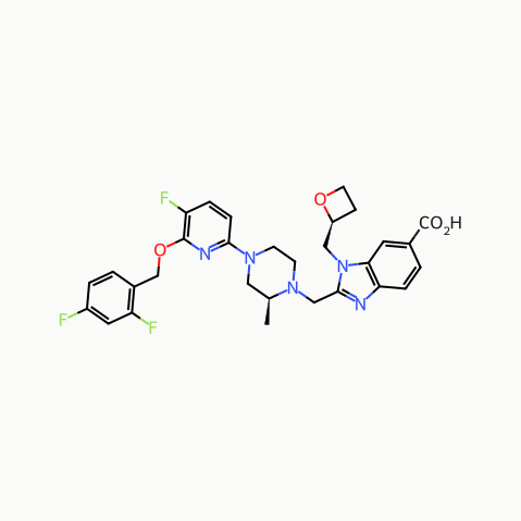 C[C@H]1CN(c2ccc(F)c(OCc3ccc(F)cc3F)n2)CCN1Cc1nc2ccc(C(=O)O)cc2n1C[C@@H]1CCO1